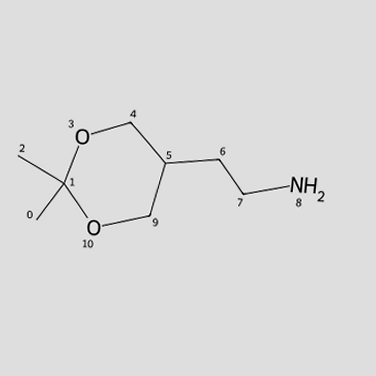 CC1(C)OCC(CCN)CO1